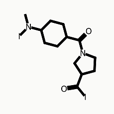 CN(I)C1CCC(C(=O)N2CCC(C(=O)I)C2)CC1